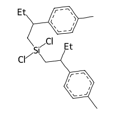 CCC(C[Si](Cl)(Cl)CC(CC)c1ccc(C)cc1)c1ccc(C)cc1